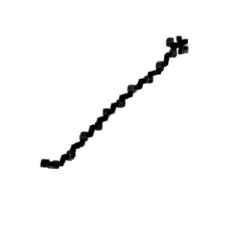 CCC(C)(C)C(=O)OCCOCCOCCOCCOCCOCCOCCOCCOCCOC